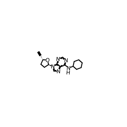 C#C[C@H]1CC[C@H](n2cnc3c(NC4CCCCC4)ncnc32)O1